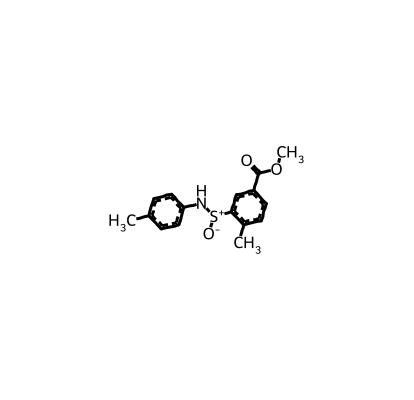 COC(=O)c1ccc(C)c([S+]([O-])Nc2ccc(C)cc2)c1